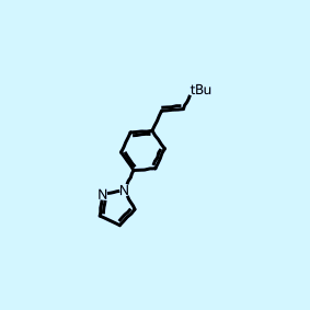 CC(C)(C)/C=C/c1ccc(-n2cccn2)cc1